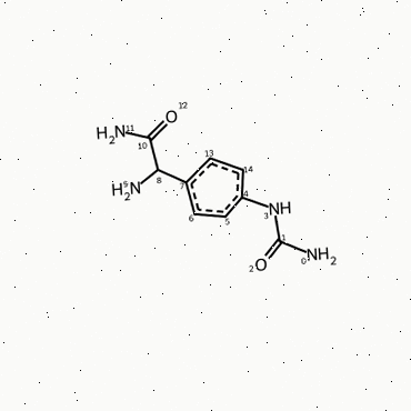 NC(=O)Nc1ccc(C(N)C(N)=O)cc1